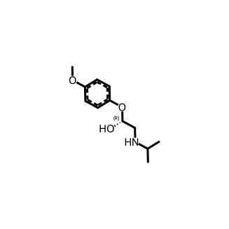 COc1ccc(O[C@@H](O)CNC(C)C)cc1